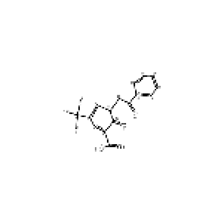 O=C(O)C1=CC(C(F)(F)F)=CC(CC(=O)c2ccccc2)C1=O